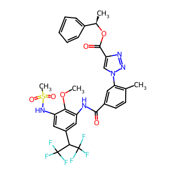 COc1c(NC(=O)c2ccc(C)c(-n3cc(C(=O)O[C@H](C)c4ccccc4)nn3)c2)cc(C(C(F)(F)F)C(F)(F)F)cc1NS(C)(=O)=O